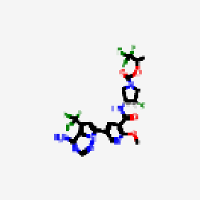 COc1ncc(-c2cc(C(F)(F)F)c3c(N)ncnn23)cc1C(=O)N[C@@H]1CN(C(=O)OC(C)C(F)(F)F)C[C@@H]1F